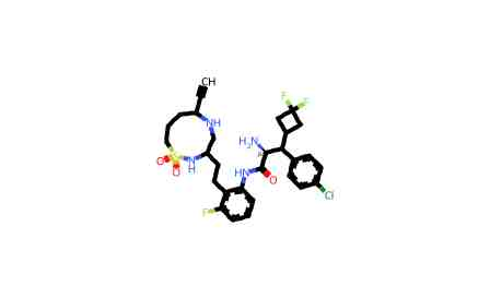 C#CC1CCCS(=O)(=O)NC(CCc2c(F)cccc2NC(=O)[C@@H](N)C(c2ccc(Cl)cc2)C2CC(F)(F)C2)CN1